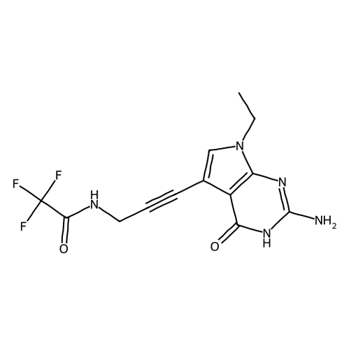 CCn1cc(C#CCNC(=O)C(F)(F)F)c2c(=O)[nH]c(N)nc21